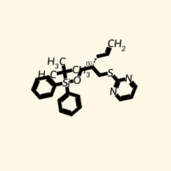 C=CC[C@@H](CO[Si](c1ccccc1)(c1ccccc1)C(C)(C)C)CSc1ncccn1